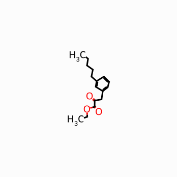 CCCCCc1cccc(CC(=O)C(=O)OCC)c1